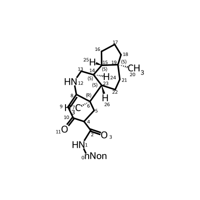 CCCCCCCCCNC(=O)C1C[C@@]2(C)C(=CC1=O)NC[C@H]1[C@@H]3CCC[C@@]3(C)CC[C@@H]12